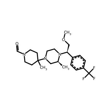 COC[C@@H](c1ccc(C(F)(F)F)cc1)N1CCN(C2(C)CCN(C=O)CC2)C[C@@H]1C